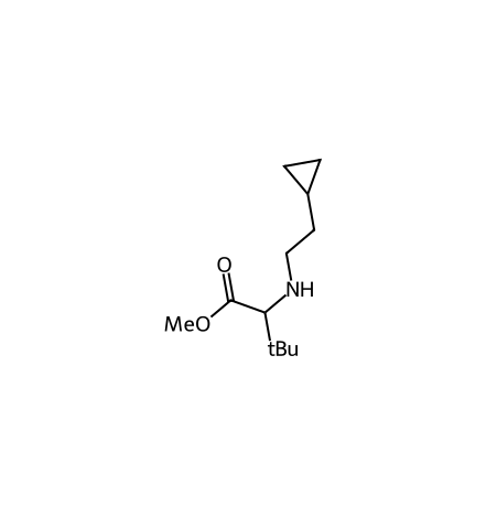 COC(=O)C(NCCC1CC1)C(C)(C)C